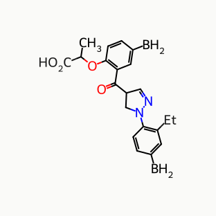 Bc1ccc(N2CC(C(=O)c3cc(B)ccc3OC(C)C(=O)O)C=N2)c(CC)c1